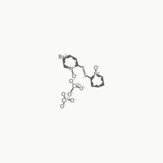 [Ba+2].[O-][Cl+2]([O-])[O-].[O-][Cl+2]([O-])[O-].[O-][n+]1ccccc1SSc1cccc[n+]1[O-]